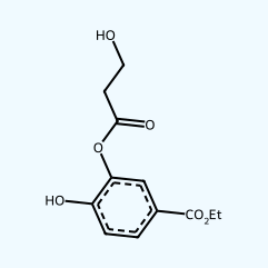 CCOC(=O)c1ccc(O)c(OC(=O)CCO)c1